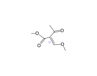 CO/C=C(\C(C)=O)C(=O)OC